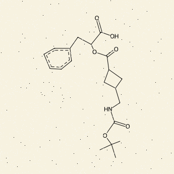 CC(C)(C)OC(=O)NCC1CC(C(=O)OC(Cc2ccccc2)C(=O)O)C1